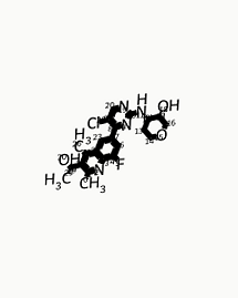 Cc1nc2c(F)cc(-c3nc(N[C@@H]4CCOC[C@H]4O)ncc3Cl)cc2c(C)c1[C@H](C)O